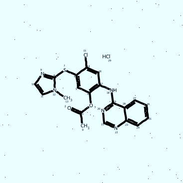 CC(=O)Oc1cc(Sc2nccn2C)c(Cl)cc1Nc1ncnc2ccccc12.Cl